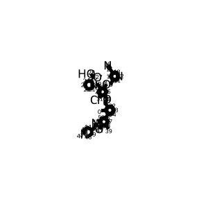 Cc1c(COc2cc(OCc3cncc(C#N)c3)c(CN3CCCC[C@H]3C(=O)O)cc2Cl)cccc1-c1cc(C)c2oc(C3CCN(C)CC3)nc2c1